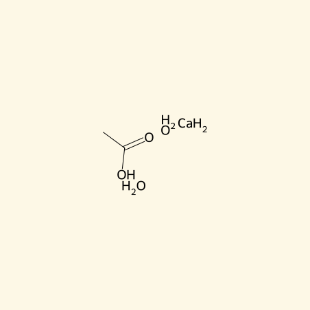 CC(=O)O.O.O.[CaH2]